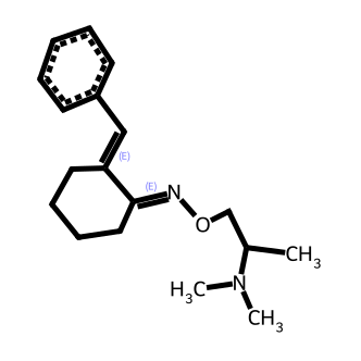 CC(CO/N=C1\CCCC\C1=C/c1ccccc1)N(C)C